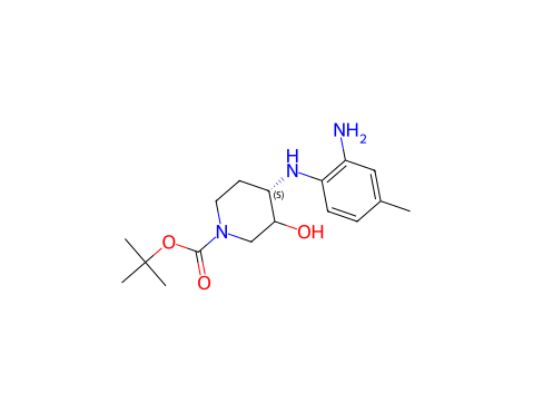 Cc1ccc(N[C@H]2CCN(C(=O)OC(C)(C)C)CC2O)c(N)c1